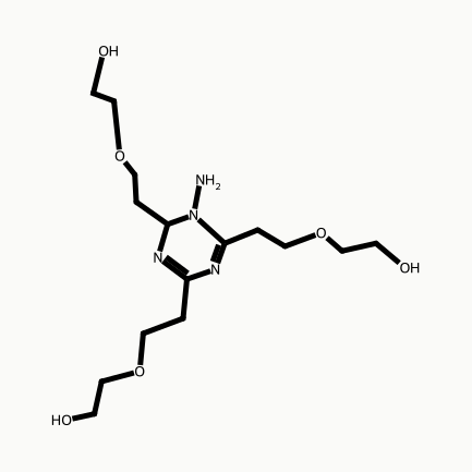 NN1C(CCOCCO)=NC(CCOCCO)=NC1CCOCCO